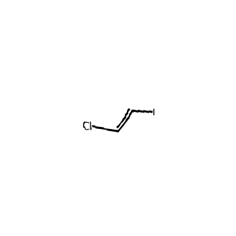 ClC=CI